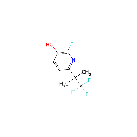 CC(C)(c1ccc(O)c(F)n1)C(F)(F)F